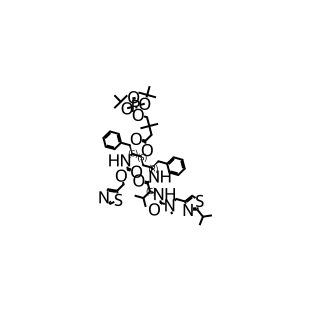 CC(C)c1nc(CN(C)C(=O)N[C@H](C(=O)N[C@H](Cc2ccccc2)C[C@H](OC(=O)CC(C)(C)COP(=O)(OC(C)(C)C)OC(C)(C)C)[C@H](Cc2ccccc2)NC(=O)OCc2cncs2)C(C)C)cs1